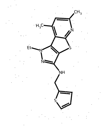 CCn1nc(NCc2cccs2)c2sc3nc(C)cc(C)c3c21